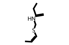 C=C(CC)NCS/C=C\C